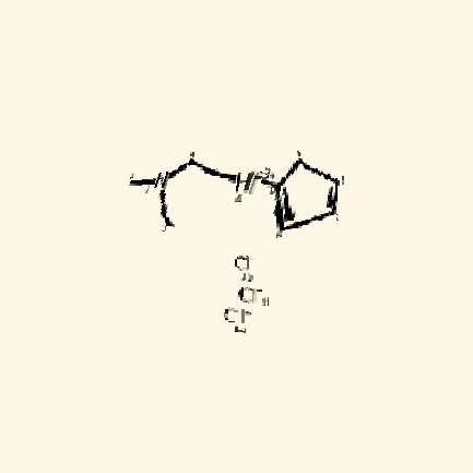 CN(C)[CH2][Hf+3][C]1=CC=CC1.[Cl-].[Cl-].[Cl-]